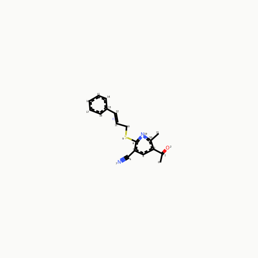 CC(=O)c1cc(C#N)c(SC/C=C/c2ccccc2)nc1C